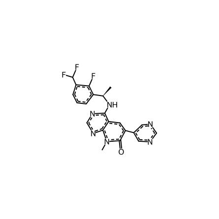 C[C@@H](Nc1ncnc2c1cc(-c1cncnc1)c(=O)n2C)c1cccc(C(F)F)c1F